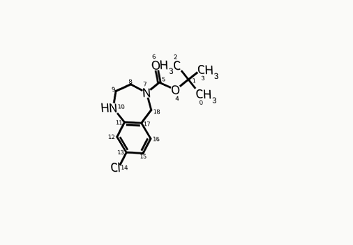 CC(C)(C)OC(=O)N1CCNc2cc(Cl)ccc2C1